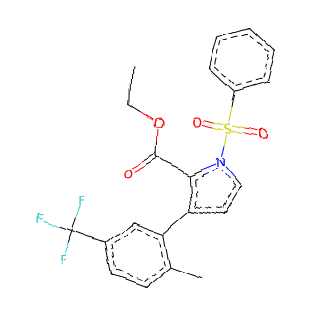 CCOC(=O)c1c(-c2cc(C(F)(F)F)ccc2C)ccn1S(=O)(=O)c1ccccc1